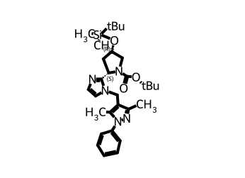 Cc1nn(-c2ccccc2)c(C)c1Cn1ccnc1[C@@H]1C[C@@H](O[Si](C)(C)C(C)(C)C)CN1C(=O)OC(C)(C)C